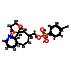 Cc1ccc(S(=O)(=O)OCC2CCc3cccnc3C3(C2)OCCO3)cc1